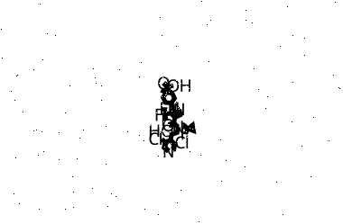 CC1(C(=O)O)CCC(n2ncc(C(=O)N(C[C@@H](O)c3c(Cl)cncc3Cl)CC3(F)CC3)c2C(F)(F)F)CC1